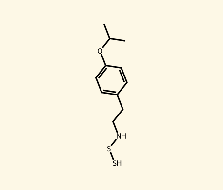 CC(C)Oc1ccc(CCNSS)cc1